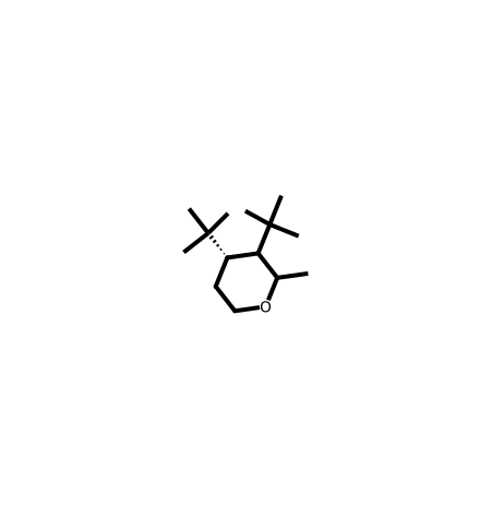 CC1OCC[C@H](C(C)(C)C)C1C(C)(C)C